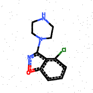 Clc1cccc2onc(N3CCNCC3)c12